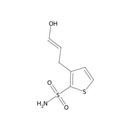 NS(=O)(=O)c1sccc1CC=CO